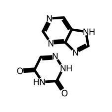 O=c1cn[nH]c(=O)[nH]1.c1ncc2[nH]cnc2n1